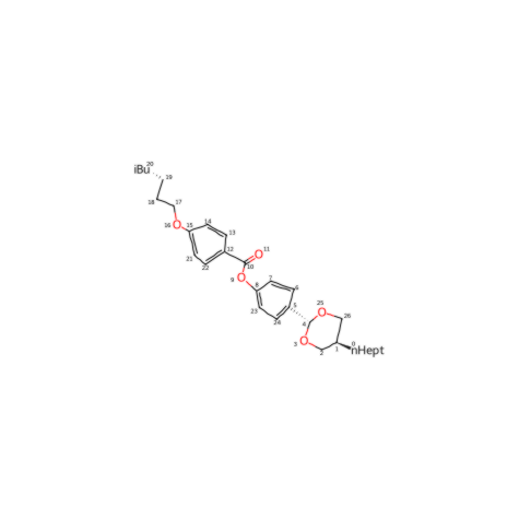 CCCCCCC[C@H]1CO[C@H](c2ccc(OC(=O)c3ccc(OCCC[C@@H](C)CC)cc3)cc2)OC1